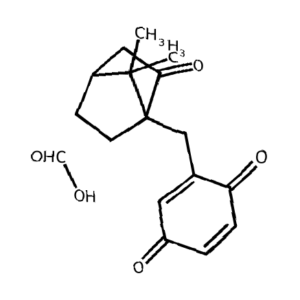 CC1(C)C2CCC1(CC1=CC(=O)C=CC1=O)C(=O)C2.O=CO